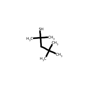 CC(C)(C)CC(C)(C)S